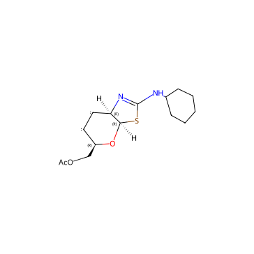 CC(=O)OC[C@H]1[C][C][C@H]2N=C(NC3CCCCC3)S[C@H]2O1